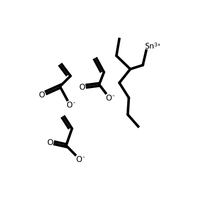 C=CC(=O)[O-].C=CC(=O)[O-].C=CC(=O)[O-].CCCCC(CC)[CH2][Sn+3]